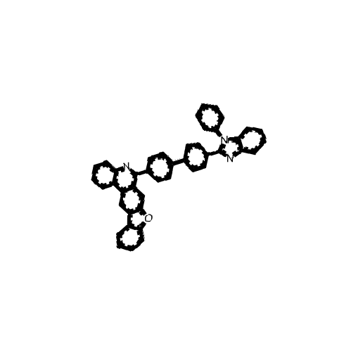 c1ccc(-n2c(-c3ccc(-c4ccc(-c5nc6ccccc6c6cc7c(cc56)oc5ccccc57)cc4)cc3)nc3ccccc32)cc1